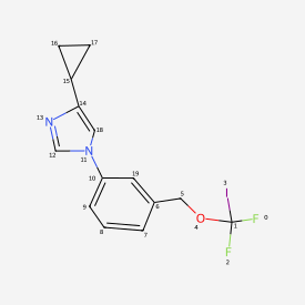 FC(F)(I)OCc1cccc(-n2cnc(C3CC3)c2)c1